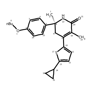 CCCCOc1ccc([C@]2(C)CC(c3ccc(C4CC4)s3)=C(C)C(=O)N2)cc1